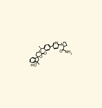 C[C@@H](c1ccc(-c2ccc(N3CCCC3C(N)=O)nc2)cc1)N1CCC(CC(C)(C)O)(c2ccccc2)OC1=O